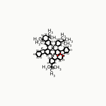 CC(C)(C)c1ccc(N2B3c4cc5c(cc4N(c4ccc(C(C)(C)C)cc4-c4ccccc4)c4cc6c(sc7ccccc76)c(c43)-c3cc4c(cc32)C(C)(C)CCC4(C)C)sc2ccccc25)cc1